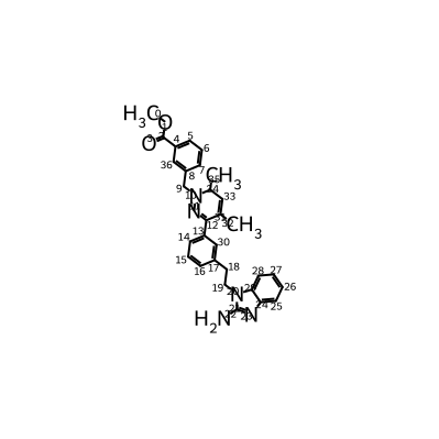 COC(=O)c1cccc(CN2N=C(c3cccc(CCn4c(N)nc5ccccc54)c3)C(C)=CC2C)c1